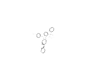 CCCC1CC(C)CC12c1ccccc1-c1ccc(N(c3ccc(C(C)(C)C)cc3)c3ccc4c(c3)oc3ccccc34)cc12